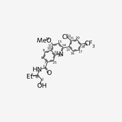 CC[C@H](CO)NC(=O)c1ccc2c(OC)cc(-c3ccc(C(F)(F)F)cc3Cl)nc2c1